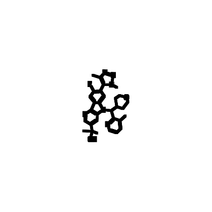 Cc1cccnc1C(C1CCOCC1)n1c2cc(-c3c(C)nnn3C)c(F)cc2c2ncc(C(C)(C)O)cc21